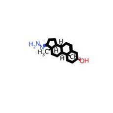 C[C@]12CC[C@H](O)CC1=CC[C@@H]1[C@@H]2CC[C@]2(C)C(=NN)CC[C@@H]12